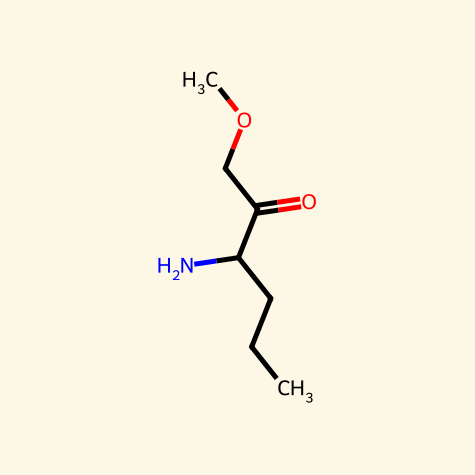 CCCC(N)C(=O)COC